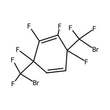 FC1=C(F)C(F)(C(F)(F)Br)C=CC1(F)C(F)(F)Br